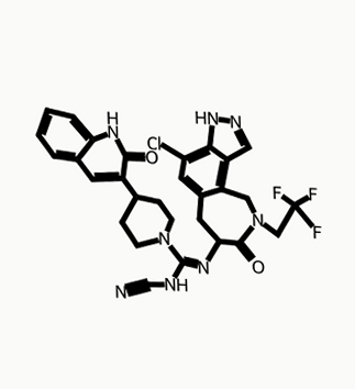 N#CNC(=NC1Cc2cc(Cl)c3[nH]ncc3c2CN(CC(F)(F)F)C1=O)N1CCC(c2cc3ccccc3[nH]c2=O)CC1